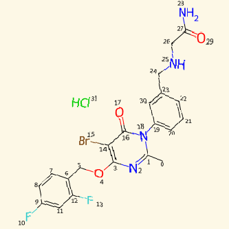 Cc1nc(OCc2ccc(F)cc2F)c(Br)c(=O)n1-c1cccc(CNCC(N)=O)c1.Cl